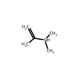 C=C(C)[SiH](C)C